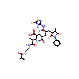 C=C(C)C(=O)OCCNC(=O)C(C)CC(CC(CC(CC1C(=O)N(c2ccccc2)C(=O)C1C)C(=O)Nc1nnc(S)[nH]1)C(N)=O)C(=O)O